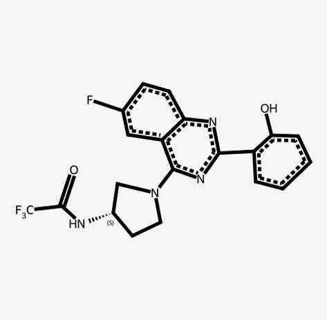 O=C(N[C@H]1CCN(c2nc(-c3ccccc3O)nc3ccc(F)cc23)C1)C(F)(F)F